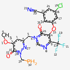 COc1cc(Cn2cnc(C(F)(F)F)c(Oc3cc(Cl)cc(C#N)c3)c2=O)nn(CP)c1=O